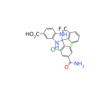 NC(=O)c1ccc(C2(c3c(F)cccc3C(F)(F)F)Nc3ccc(C(=O)O)cc3N2)c(Cl)c1